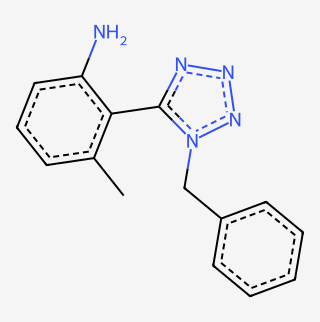 Cc1cccc(N)c1-c1nnnn1Cc1ccccc1